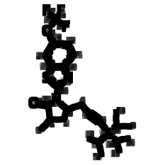 CC1CC(CC#C[Si](C(C)C)(C(C)C)C(C)C)N(c2nc3ccc(OC(F)(F)F)cc3s2)C1=O